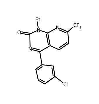 CCn1c(=O)nc(-c2cccc(Cl)c2)c2ccc(C(F)(F)F)nc21